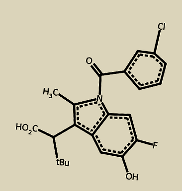 Cc1c(C(C(=O)O)C(C)(C)C)c2cc(O)c(F)cc2n1C(=O)c1cccc(Cl)c1